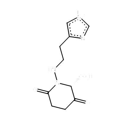 O=C(O)[C@@H]1C(=O)CCC(=O)N1NCCc1c[nH]cn1